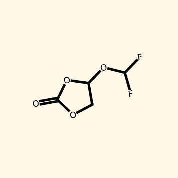 O=C1OCC(OC(F)F)O1